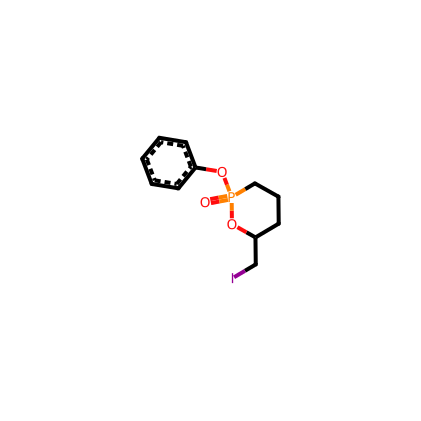 O=P1(Oc2ccccc2)CCCC(CI)O1